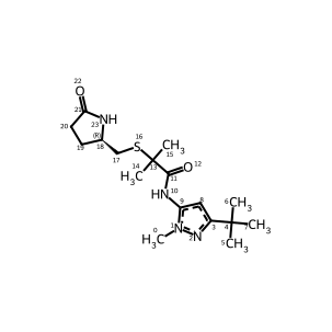 Cn1nc(C(C)(C)C)cc1NC(=O)C(C)(C)SC[C@H]1CCC(=O)N1